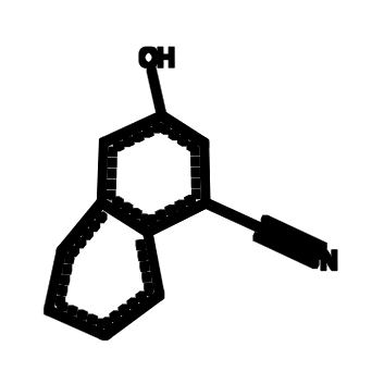 N#Cc1cc(O)cc2ccccc12